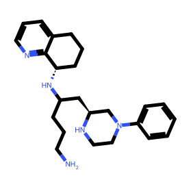 NCCCC(C[C@H]1CN(c2ccccc2)CCN1)N[C@H]1CCCc2cccnc21